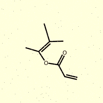 C=CC(=O)OC(C)=C(C)C